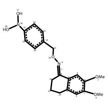 COc1cc2c(cc1OC)/C(=N/OCc1ccc(N(O)O)cc1)CCC2